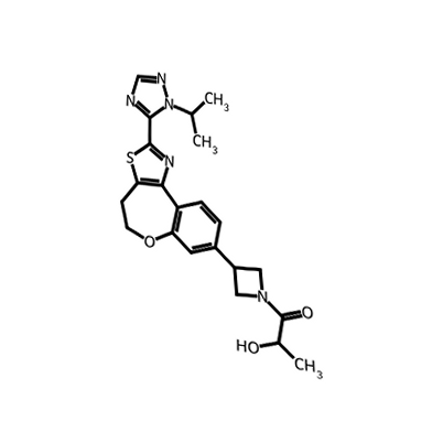 CC(O)C(=O)N1CC(c2ccc3c(c2)OCCc2sc(-c4ncnn4C(C)C)nc2-3)C1